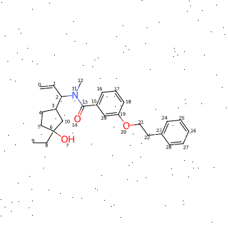 C=CC(C1CCC(O)(CC)C1)N(C)C(=O)c1cccc(OCCc2ccccc2)c1